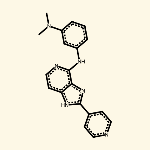 CN(C)c1cccc(Nc2nccc3[nH]c(-c4ccncc4)nc23)c1